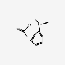 CC(=O)[O-].[CH3][Sn+]([CH3])[c]1ccccc1